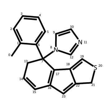 Cc1ccccc1C1(n2ccnc2)CC=CC2=C1C1=CSCC1=C2